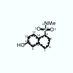 CNS(=O)(=O)c1cccc2cc(O)ccc12